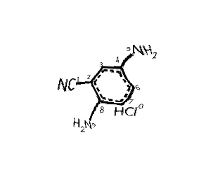 Cl.N#Cc1cc(N)ccc1N